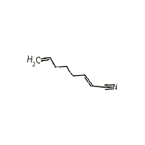 C=CCCC/C=C/C#N